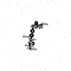 COC(=O)N[C@H](C(=O)N1CCC[C@H]1c1cnc(-c2ccc(-c3ccc(-c4ncc([C@H]5C6CCC(C6)[C@@H]5C(=O)N(NC(=O)OC)C(C)C)[nH]4)cc3)cc2OC)[nH]1)C(C)C